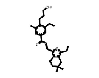 CCc1cc(C(=O)C=Cc2sc(CC)c3c2CCC(C)(C)C3)cc(C)c1CCCO